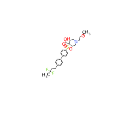 COCCN1CCC(C(=O)O)(S(=O)(=O)c2ccc(-c3ccc(CCC(C)(F)F)cc3)cc2)CC1